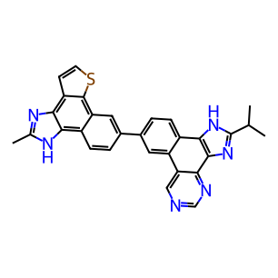 Cc1nc2c3ccsc3c3cc(-c4ccc5c(c4)c4cncnc4c4nc(C(C)C)[nH]c54)ccc3c2[nH]1